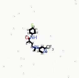 C=C(CCC(C)C(=O)Nc1ccc(F)cc1)Nc1ccnc(C(F)(F)F)c1